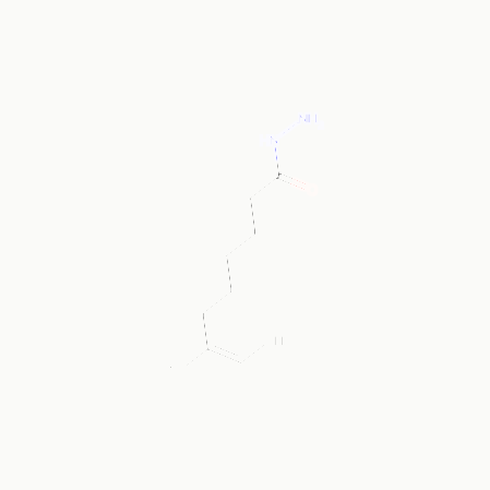 CC=C(CCCCCC(=O)NN)C(C)=O